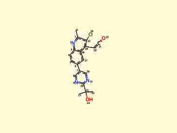 Cc1nc2ccc(-c3cnc(C(C)(C)O)nc3)cc2c(C=C=O)c1Cl